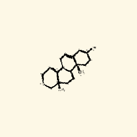 CC12CCC3C(CC=C4CC(O)CCC43C)C1CCOC2